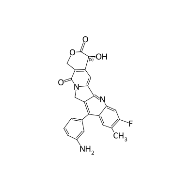 Cc1cc2c(-c3cccc(N)c3)c3c(nc2cc1F)-c1cc2c(c(=O)n1C3)COC(=O)[C@H]2O